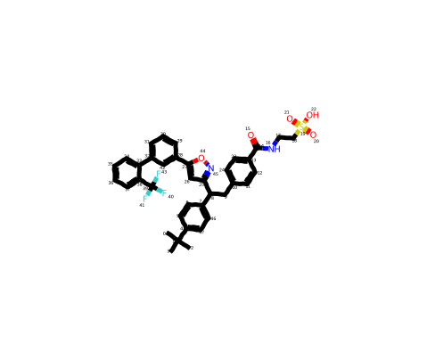 CC(C)(C)c1ccc(C(Cc2ccc(C(=O)NCCS(=O)(=O)O)cc2)c2cc(-c3cccc(-c4ccccc4C(F)(F)F)c3)on2)cc1